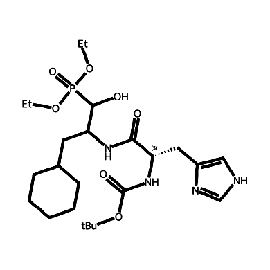 CCOP(=O)(OCC)C(O)C(CC1CCCCC1)NC(=O)[C@H](Cc1c[nH]cn1)NC(=O)OC(C)(C)C